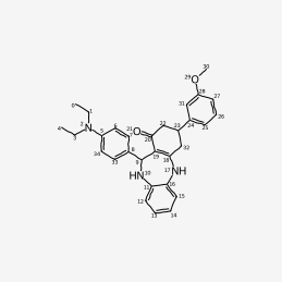 CCN(CC)c1ccc(C2Nc3ccccc3NC3=C2C(=O)CC(c2cccc(OC)c2)C3)cc1